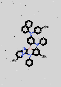 CC(C)(C)c1ccc(N(c2ccc3c(c2)N(c2ccccc2)c2cc(C(C)(C)C)cc4c2B3c2nc3ccc(C(C)(C)C)cn3c2N4c2ccccc2)c2cccc3ccccc23)cc1